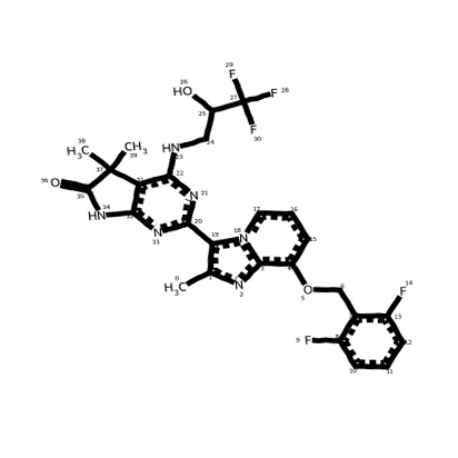 Cc1nc2c(OCc3c(F)cccc3F)cccn2c1-c1nc(NCC(O)C(F)(F)F)c2c(n1)NC(=O)C2(C)C